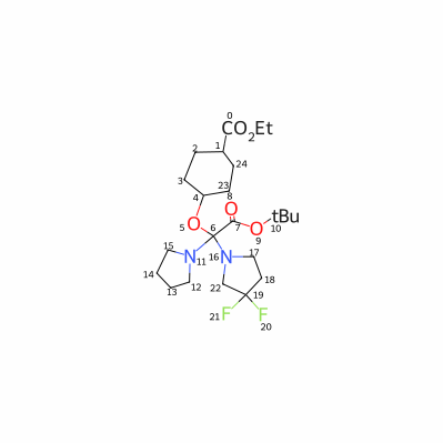 CCOC(=O)C1CCC(OC(C(=O)OC(C)(C)C)(N2CCCC2)N2CCC(F)(F)C2)CC1